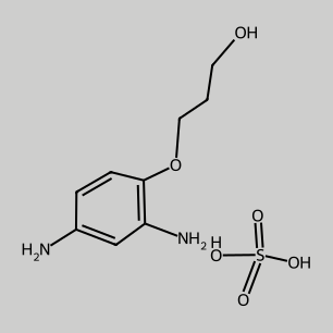 Nc1ccc(OCCCO)c(N)c1.O=S(=O)(O)O